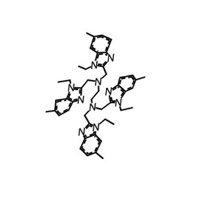 CCn1c(CN(CCN(Cc2nc3ccc(C)cc3n2CC)Cc2nc3ccc(C)cc3n2CC)Cc2nc3ccc(C)cc3n2CC)nc2ccc(C)cc21